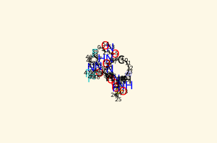 Cc1cc(C(=O)N[C@H]2CCCCC/C=C\[C@@H]3C[C@@]3(C(=O)NS(=O)(=O)C3CC3)NC(=O)[C@@H]3C[C@@H](Oc4nc5cc(F)ccc5nc4C(F)(F)F)CN3C2=O)no1